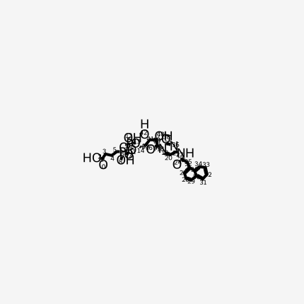 O=C(O)CCCP(=O)(O)OP(=O)(O)OC[C@H]1O[C@@H](n2ccc(NC(=O)Cc3cccc4ccccc34)nc2=O)[C@@H](O)C1O